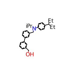 CCC(CC)c1ccc(N(Cc2cccc(-c3cccc(CO)c3)c2)C(C)C)cc1